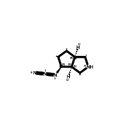 [N-]=[N+]=N[C@H]1CC[C@H]2CNC[C@H]21